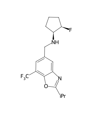 CC(C)c1nc2cc(CN[C@H]3CCC[C@H]3F)cc(C(F)(F)F)c2o1